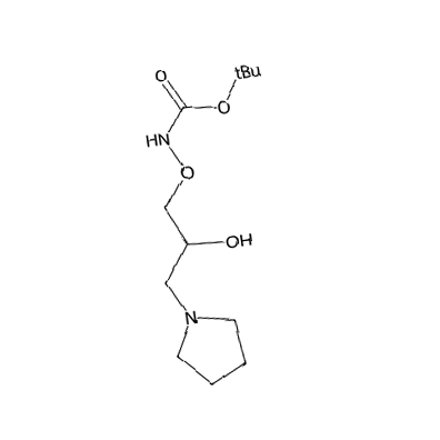 CC(C)(C)OC(=O)NOCC(O)CN1CCCC1